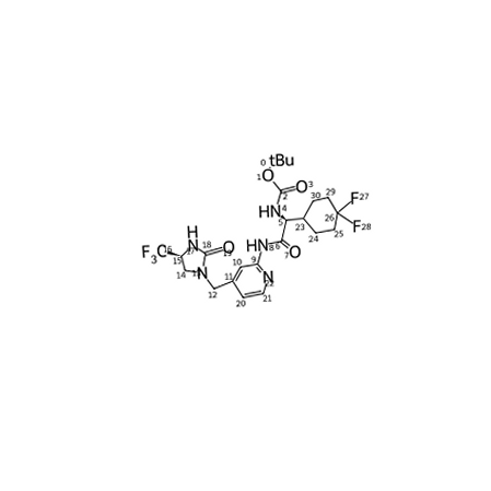 CC(C)(C)OC(=O)N[C@H](C(=O)Nc1cc(CN2C[C@@H](C(F)(F)F)NC2=O)ccn1)C1CCC(F)(F)CC1